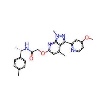 COc1ccnc(-c2nn(C)c3nc(OCC(=O)N[C@@H](C)c4ccc(C)cc4)cc(C)c23)c1